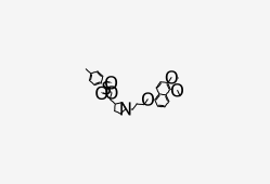 COc1ccc2c(OCCCN3CCC(COS(=O)(=O)c4ccc(C)cc4)C3)cccc2c1OC